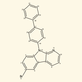 Brc1ccc2c(c1)c1cccnc1n2-c1ccc(-c2ccccc2)cc1